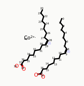 CCCCCCCC/C=C\CCCCCCCC(=O)[O-].CCCCCCCC/C=C\CCCCCCCC(=O)[O-].[Co+2]